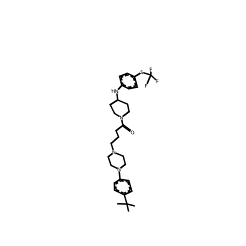 CC(C)(C)c1ccc(N2CCN(CCCC(=O)N3CCC(Nc4ccc(SC(F)(F)F)cc4)CC3)CC2)cc1